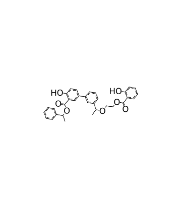 CC(OCCOC(=O)c1ccccc1O)c1cccc(-c2ccc(O)c(C(=O)OC(C)c3ccccc3)c2)c1